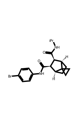 CC(C)NC(=O)[C@@H]1[C@H](C(=O)Nc2ccc(Br)cc2)[C@@H]2CC[C@H]1C21CC1